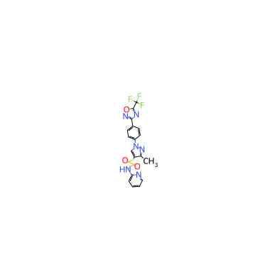 Cc1nn(-c2ccc(-c3noc(C(F)(F)F)n3)cc2)cc1S(=O)(=O)Nc1ccccn1